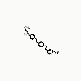 CCCNc1ccc(C=Cc2ccc(OCc3cn(CCF)nn3)cc2)cc1